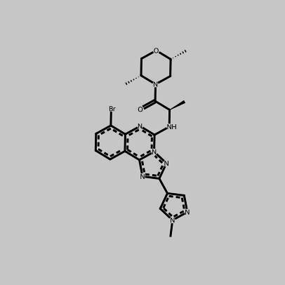 C[C@@H]1CN(C(=O)[C@@H](C)Nc2nc3c(Br)cccc3c3nc(-c4cnn(C)c4)nn23)[C@H](C)CO1